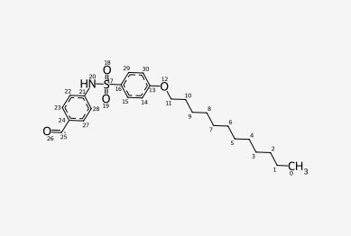 CCCCCCCCCCCCOc1ccc(S(=O)(=O)Nc2ccc([C]=O)cc2)cc1